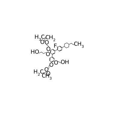 C=C(C)C(=O)OCCOc1ccc(-c2cc(-c3ccc(C4CCC(CCC)CC4)cc3F)cc(OCCOC(=O)C(=C)C)c2OCCCCO)cc1OCCO